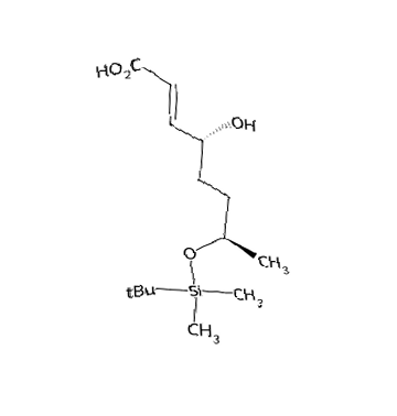 C[C@H](CC[C@@H](O)/C=C/C(=O)O)O[Si](C)(C)C(C)(C)C